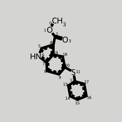 COC(=O)c1c[nH]c2ccc(Sc3ccccc3)cc12